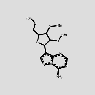 CCCCOCC1OC(c2cnn3c(N)ncnc23)C(OCCCC)C1OCCCC